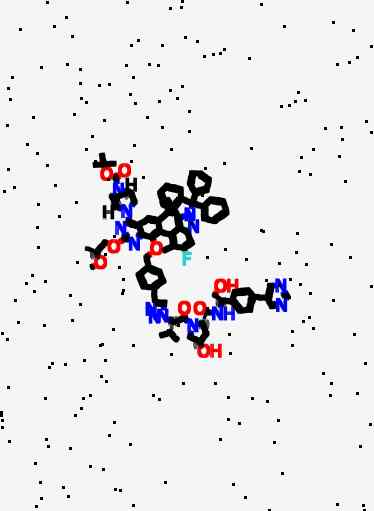 CO[C@@H](C)COc1nc(N2C[C@@H]3C[C@H]2CN3C(=O)OC(C)(C)C)c2cc(C3CC3)c(-c3c(C)c(F)cc4nn(C(c5ccccc5)(c5ccccc5)c5ccccc5)cc34)c(OCc3ccc(-c4cn([C@H](C(=O)N5C[C@H](O)C[C@H]5C(=O)N[C@@H](CO)c5ccc(-c6cncnc6)cc5)C(C)C)nn4)cc3)c2n1